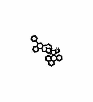 C=C(/C=C1\C(=C)C2(c3ccccc3-c3cccc4cccc2c34)c2cccnc21)\C1=C/C=C\C=C/C=C2\C=C(c3ccccc3)c3ccccc3C2C1